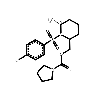 C[C@@H]1CCCC(COC(=O)N2CCCC2)N1S(=O)(=O)c1ccc(Cl)cc1